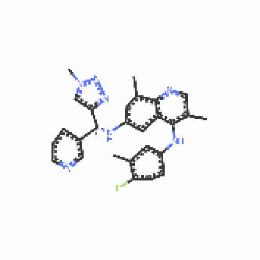 Cc1cc(Nc2c(C)cnc3c(C)cc(N[C@H](c4cccnc4)c4cn(C)nn4)cc23)ccc1F